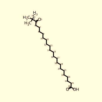 CC(C)(C)C(=O)CCCCCCCCCCCCCCCCCCCCC(=O)O